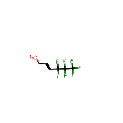 OCC=CC(F)(F)C(F)(F)C(F)(F)F